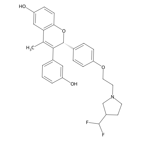 CC1=C(c2cccc(O)c2)[C@@H](c2ccc(OCCN3CCC(C(F)F)C3)cc2)Oc2ccc(O)cc21